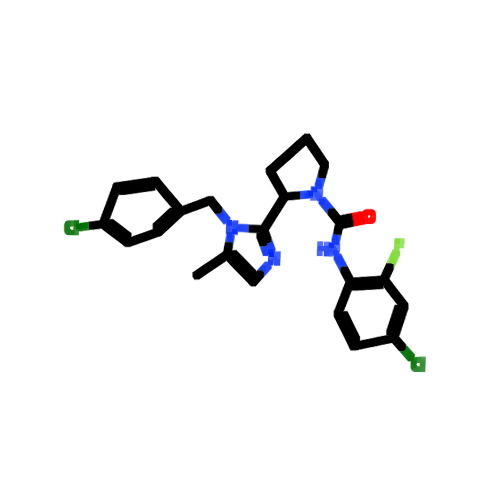 Cc1cnc(C2CCCN2C(=O)Nc2ccc(Cl)cc2F)n1Cc1ccc(Cl)cc1